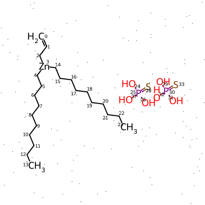 C=C[CH2][Zn]([CH2]CCCCCCCCC)[CH2]CCCCCCCCC.OP(O)(O)=S.OP(O)(O)=S